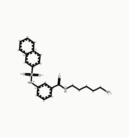 NCCCCCNC(=O)c1cccc(NS(=O)(=O)c2ccc3ccccc3c2)c1